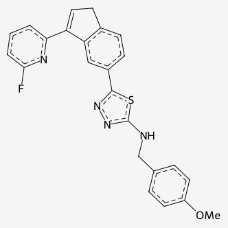 COc1ccc(CNc2nnc(-c3ccc4c(c3)C(c3cccc(F)n3)=CC4)s2)cc1